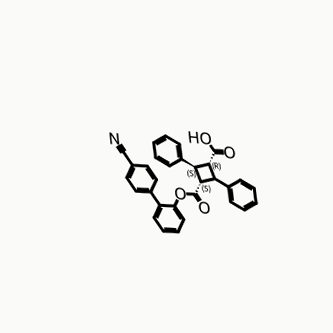 N#Cc1ccc(-c2ccccc2OC(=O)[C@H]2C(c3ccccc3)[C@@H](C(=O)O)[C@@H]2c2ccccc2)cc1